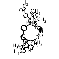 C=CC(=O)N1CC[C@H](C(=O)N(C2COC2)N(C(=O)N[C@H]2Cc3cccc(c3)-c3ccc4c(c3)c(c(-c3cccnc3[C@H](C)OC)n4CC)CC(C)(C)COC(=O)[C@@H]3CCCN(N3)C2=O)C(C)C)C1